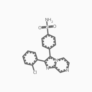 NS(=O)(=O)c1ccc(-c2c(-c3ccccc3Cl)nc3cnccn23)cc1